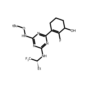 CC[C@@H](Nc1nc(NOC(C)(C)C)nc(C2=C(F)C(O)CCC2)n1)C(F)(F)F